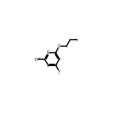 CCCOc1cc(F)cc(Cl)n1